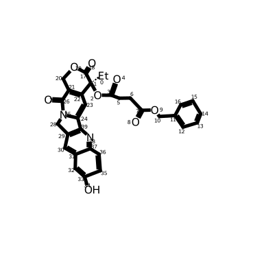 CC[C@@]1(OC(=O)CCC(=O)OCc2ccccc2)C(=O)OCc2c1cc1n(c2=O)Cc2cc3cc(O)ccc3nc2-1